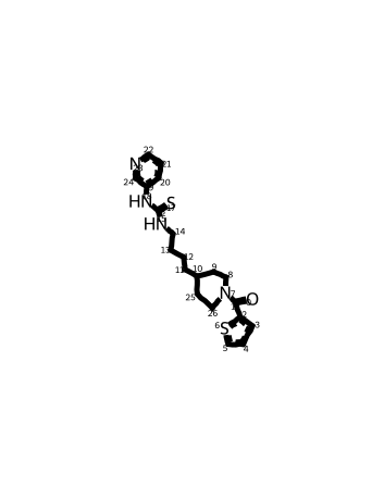 O=C(c1cccs1)N1CCC(CCCCNC(=S)Nc2cccnc2)CC1